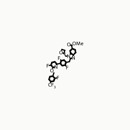 COC(=O)c1ccc2nc(Cc3cc(F)c(-c4ccc(F)c(OCc5ccc(C(F)(F)F)cc5F)n4)cc3F)n(C[C@@H]3CCO3)c2c1